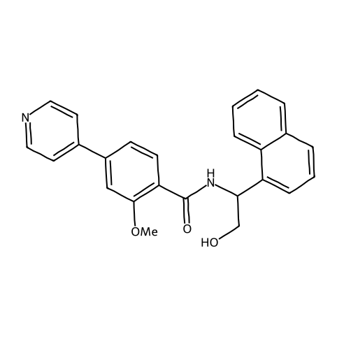 COc1cc(-c2ccncc2)ccc1C(=O)NC(CO)c1cccc2ccccc12